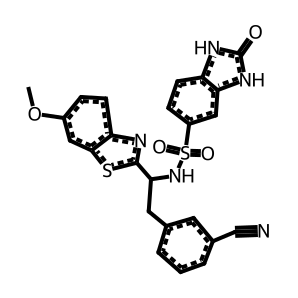 COc1ccc2nc(C(Cc3cccc(C#N)c3)NS(=O)(=O)c3ccc4[nH]c(=O)[nH]c4c3)sc2c1